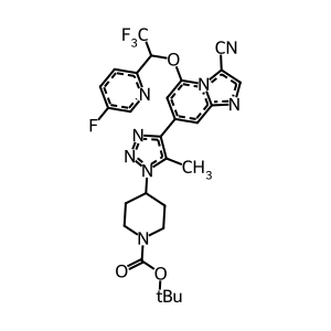 Cc1c(-c2cc(OC(c3ccc(F)cn3)C(F)(F)F)n3c(C#N)cnc3c2)nnn1C1CCN(C(=O)OC(C)(C)C)CC1